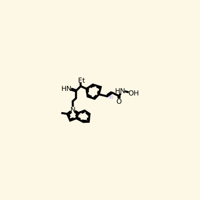 CCC(C(=N)CCn1c(C)cc2ccccc21)c1ccc(/C=C/C(=O)NO)cc1